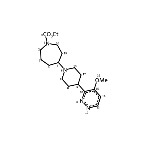 CCOC(=O)N1CCCC(N2CCC(c3nnccc3OC)CC2)CC1